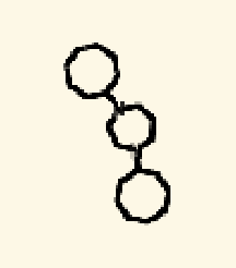 C1CCCC(N2CCCN(C3CCCCCCC3)CC2)CCC1